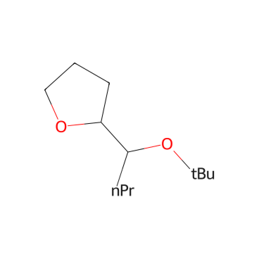 CCCC(OC(C)(C)C)C1CCCO1